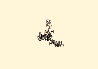 CCc1ccc(CCNc2ncc(C)n(CC(=O)NCCONC(=N)N)c2=O)cc1.O=C(O)C(F)(F)F